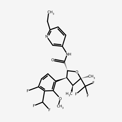 CCc1ccc(NC(=O)[C@@H]2O[C@@](C)(C(F)(F)F)[C@@H](C)[C@H]2c2ccc(F)c(C(F)F)c2OC)cn1